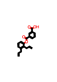 C=CCc1cccc(OC(=O)c2cccc(C(=O)O)c2)c1CC=C